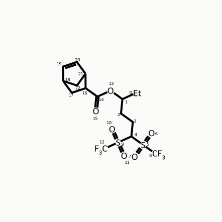 CCC(CCC(S(=O)(=O)C(F)(F)F)S(=O)(=O)C(F)(F)F)OC(=O)C1CC2C=CC1C2